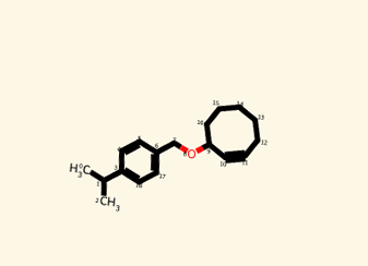 CC(C)c1ccc(COC2C#CCCCCC2)cc1